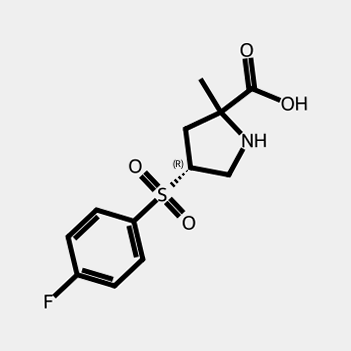 CC1(C(=O)O)C[C@@H](S(=O)(=O)c2ccc(F)cc2)CN1